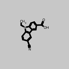 CCn1c2ccc(C#N)cc2c2cc(C(=O)O)ccc21